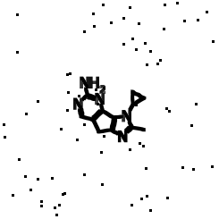 Cc1nc2c(n1C1CC1)-c1nc(N)ncc1C2